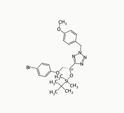 COc1ccc(Cn2nnc([C@@H](COc3ccc(Br)cc3)O[Si](C)(C)C(C)(C)C)n2)cc1